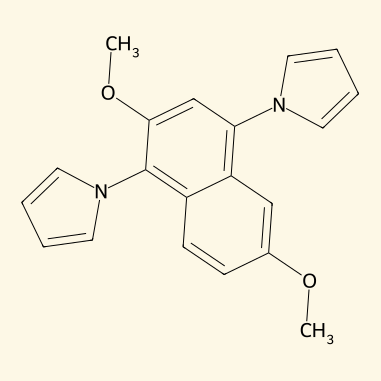 COc1ccc2c(-n3cccc3)c(OC)cc(-n3cccc3)c2c1